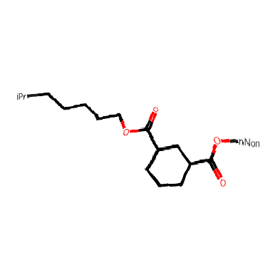 CCCCCCCCCOC(=O)C1CCCC(C(=O)OCCCCCC(C)C)C1